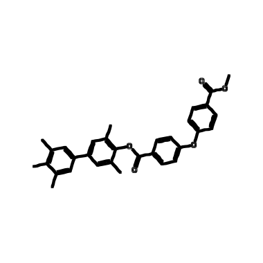 COC(=O)c1ccc(Oc2ccc(C(=O)Oc3c(C)cc(-c4cc(C)c(C)c(C)c4)cc3C)cc2)cc1